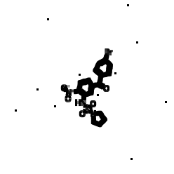 O=C(c1ccc(Br)cc1)c1ccc([N+](=O)[O-])c(NS(=O)(=O)N2CCCC2)c1